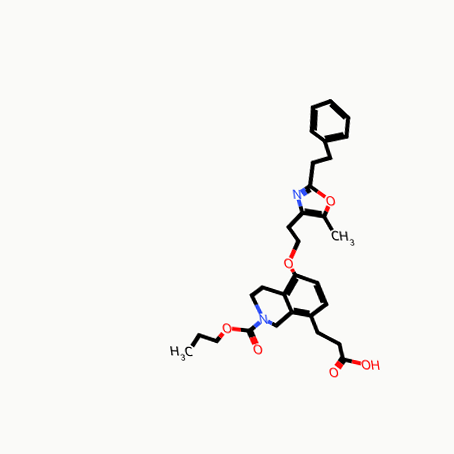 CCCOC(=O)N1CCc2c(OCCc3nc(CCc4ccccc4)oc3C)ccc(CCC(=O)O)c2C1